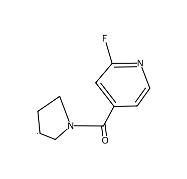 O=C(c1ccnc(F)c1)N1C[CH]CC1